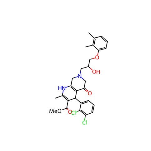 COC(=O)C1=C(C)NC2=C(C(=O)CN(CC(O)COc3cccc(C)c3C)C2)C1c1cccc(Cl)c1Cl